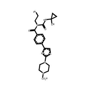 CC(C)CCN(C(=O)NC1(C#N)CC1)C(=O)c1ccc(-c2csc(N3CCN(C(=O)O)CC3)n2)cc1